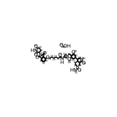 CNC(=O)N1CCc2c(-c3cc(OC)c(CN4CC(NC(=O)CCCCCOc5cccc6c5C(=O)N(C5CCC(=O)NC5=O)C6=O)C4)c(OC)c3)cn(C)c(=O)c2C1.O=CO